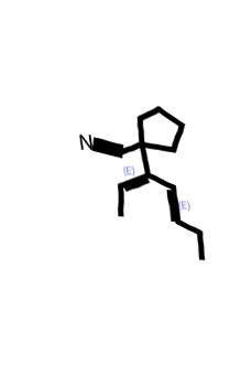 C/C=C(\C=C\CC)C1(C#N)CCCC1